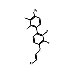 CC/C=C/Oc1ccc(-c2ccc(CCC)c(F)c2F)c(F)c1F